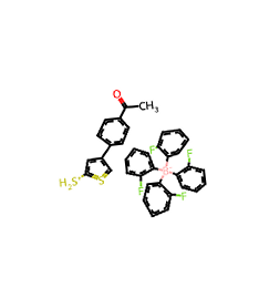 CC(=O)c1ccc(-c2csc([SH2+])c2)cc1.Fc1ccccc1[B-](c1ccccc1F)(c1ccccc1F)c1ccccc1F